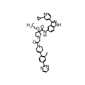 CCO[C@@]1(C(=O)Nc2ccc3[nH]nc(-c4ccnc(C5CC5)c4)c3c2)CCN(CC(=O)N2CC=C(c3ccc(-c4ncccn4)cc3F)CC2)C1